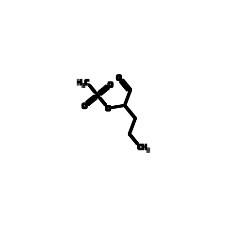 CCCC(C=O)OS(C)(=O)=O